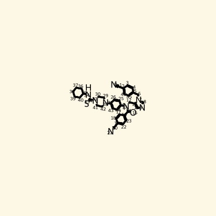 N#Cc1ccc(Cn2cncc2CN(C(=O)c2ccc(C#N)cc2)c2ccc(N3CCN(C(=S)NC4CCCCC4)CC3)cc2)cc1